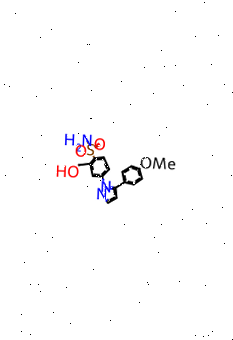 COc1ccc(-c2ccnn2-c2ccc(S(N)(=O)=O)c(CO)c2)cc1